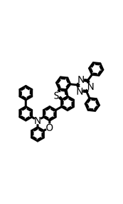 c1ccc(-c2cccc(N3c4ccccc4Oc4cc(-c5cccc6c5sc5cccc(-c7nc(-c8ccccc8)nc(-c8ccccc8)n7)c56)ccc43)c2)cc1